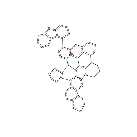 c1ccc(N(c2ccc(-c3cccc4sc5ccccc5c34)cc2)c2ccccc2-c2cccc3cccc(C4CCCCC4)c23)c(-c2cccc3c2ccc2ccccc23)c1